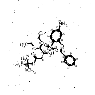 CCOC(OCC)[C@H](CC(=O)OC(C)(C)C)NS(=O)(=O)c1ccc(N)cc1OCc1ccccc1